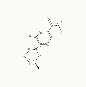 Cc1cc(C(=O)N(C)C)ccc1N1CCN[C@H](C)C1